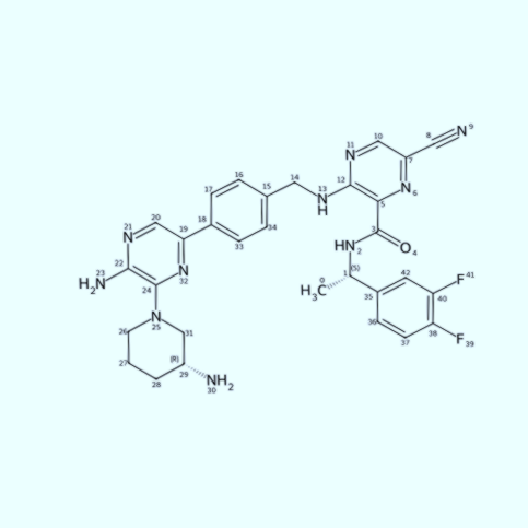 C[C@H](NC(=O)c1nc(C#N)cnc1NCc1ccc(-c2cnc(N)c(N3CCC[C@@H](N)C3)n2)cc1)c1ccc(F)c(F)c1